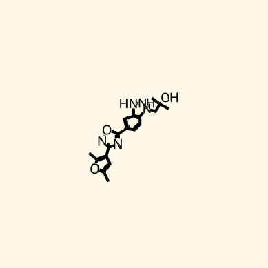 Cc1cc(-c2noc(-c3ccc4c(c3)NNN4CC(C)(C)O)n2)c(C)o1